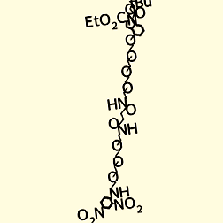 CCOC(=O)c1cc2c(OCCOCCOCCOCCNC(=O)CCC(=O)NCCOCCOCCOCCNc3ccc([N+](=O)[O-])cc3[N+](=O)[O-])cccc2n1C(=O)OC(C)(C)C